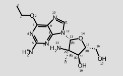 CCOc1nc(N)nc2c1ncn2[C@@H]1O[C@H](CO)[C@@H](O)[C@@]1(C)N